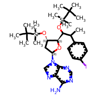 CC(c1ccc(I)cc1)C(O[Si](C)(C)C(C)(C)C)[C@H]1O[C@@H](n2cnc3c(N)ncnc32)C[C@@H]1O[Si](C)(C)C(C)(C)C